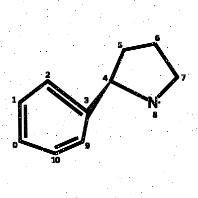 c1ccc([C@H]2CCC[N]2)cc1